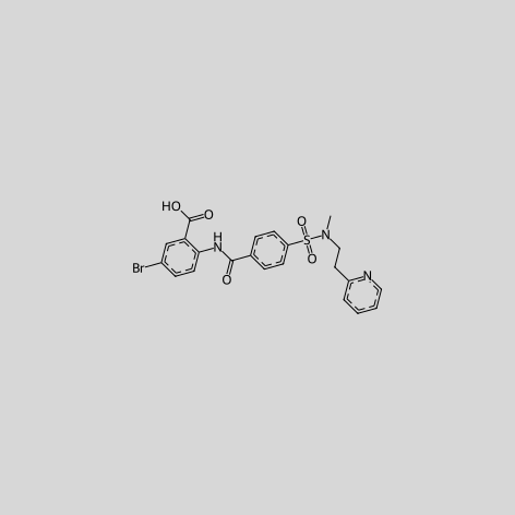 CN(CCc1ccccn1)S(=O)(=O)c1ccc(C(=O)Nc2ccc(Br)cc2C(=O)O)cc1